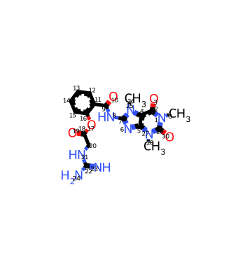 Cn1c(=O)c2c(nc(NC(=O)c3ccccc3OC(=O)CNC(=N)N)n2C)n(C)c1=O